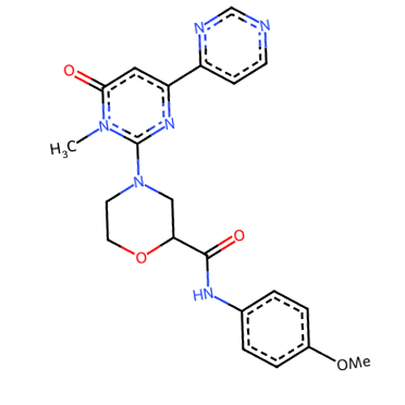 COc1ccc(NC(=O)C2CN(c3nc(-c4ccncn4)cc(=O)n3C)CCO2)cc1